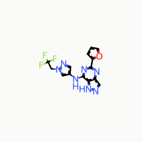 FC(F)(F)Cn1cc(Nc2nc(-c3ccco3)nc3cn[nH]c23)cn1